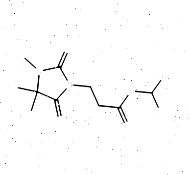 CCCC(F)OC(=O)[C@H](N)CN1C(=O)N(C)C(C)(C)C1=O